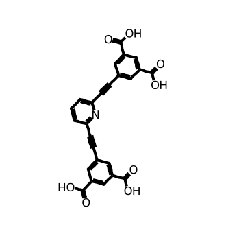 O=C(O)c1cc(C#Cc2cccc(C#Cc3cc(C(=O)O)cc(C(=O)O)c3)n2)cc(C(=O)O)c1